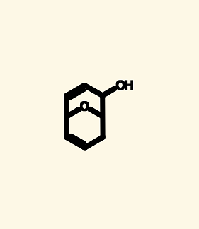 OC1C=CC2C=CCC1O2